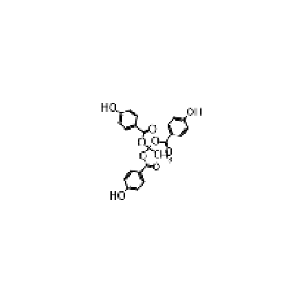 CC(OC(=O)c1ccc(O)cc1)(OC(=O)c1ccc(O)cc1)OC(=O)c1ccc(O)cc1